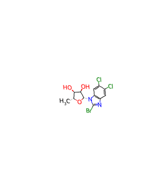 C[C@H]1O[C@@H](n2c(Br)nc3cc(Cl)c(Cl)cc32)[C@H](O)[C@@H]1O